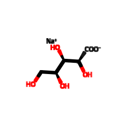 O=C([O-])[C@@H](O)[C@H](O)[C@@H](O)CO.[Na+]